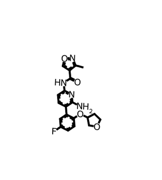 Cc1nocc1C(=O)Nc1ccc(-c2cc(F)ccc2OC2CCOC2)c(N)n1